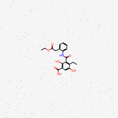 CCOC(=O)Cc1ccccc1NC(=O)c1c(O)c(C(=O)O)cc(O)c1CC